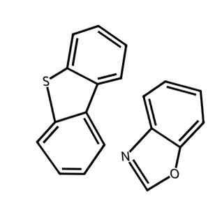 c1ccc2c(c1)sc1ccccc12.c1ccc2ocnc2c1